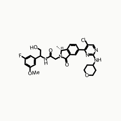 COc1cc(F)cc(C(CO)NC(=O)CN2C(=O)c3cc(-c4nc(NC5CCOCC5)ncc4Cl)ccc3[C@H]2C)c1